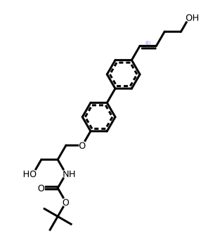 CC(C)(C)OC(=O)NC(CO)COc1ccc(-c2ccc(/C=C/CCO)cc2)cc1